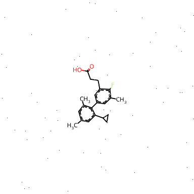 Cc1cc(C)c(-c2cc(C)c(F)c(CCC(=O)O)c2)c(C2CC2)c1